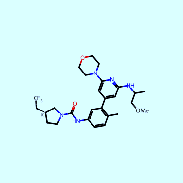 COCC(C)Nc1cc(-c2cc(NC(=O)N3CC[C@@H](CC(F)(F)F)C3)ccc2C)cc(N2CCOCC2)n1